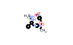 C=CCN(C(=O)OCc1ccc([N+](=O)[O-])cc1)C1CCN(CC2CC(NC(=S)NC)CC2c2ccccc2)CC1